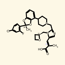 C/C(=C\c1cnc(CN2CCC(c3cccc4c3O[C@](C)(c3ccc(Cl)cc3F)O4)CC2)n1C[C@@H]1CCO1)C(=O)O